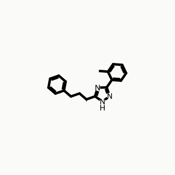 Cc1ccccc1-c1n[nH]c([CH]CCc2ccccc2)n1